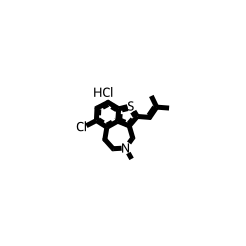 CC(C)=Cc1sc2ccc(Cl)c3c2c1CN(C)CC3.Cl